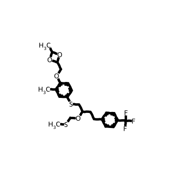 CSCOC(CCc1ccc(C(F)(F)F)cc1)CSc1ccc(OCC2OC(C)O2)c(C)c1